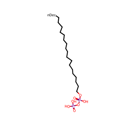 CCCCCCCCCCCCCCCCCCCCCCCCCCCCOP(=O)(O)OP(=O)(O)O